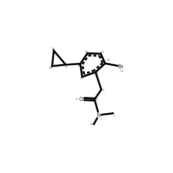 CN(C)C(=O)Cc1cc(C2CC2)ccc1Br